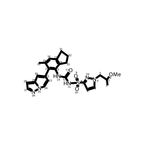 COC(C)Cn1ccc(S(=O)(=O)NC(=O)Nc2c3c(cc(C)c2-c2ccn4nccc4c2)CCC3)n1